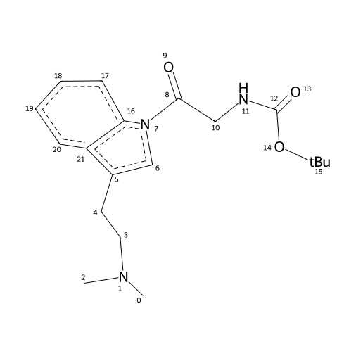 CN(C)CCc1cn(C(=O)CNC(=O)OC(C)(C)C)c2ccccc12